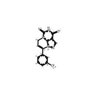 O=c1[nH]c(=S)n2c3c1cnn3C(c1cccc(C(F)(F)F)c1)=CC2